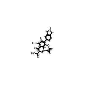 CCOc1c(-c2ccc3c(c2)CNC3)c(F)c(N)c2c(=O)c(C(=O)O)cn(C3CC3)c12